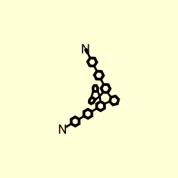 N#Cc1ccc(-c2ccc(-c3ccc4c(c3)C3(c5cc(-c6ccc(-c7ccc(C#N)cc7)cc6)ccc5-c5ccccc5-4)c4ccccc4-c4ccccc43)cc2)cc1